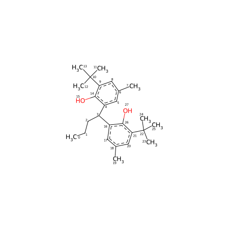 CCCC(c1cc(C)cc(C(C)(C)C)c1O)c1cc(C)cc(C(C)(C)C)c1O